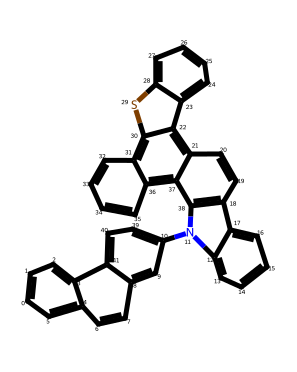 c1ccc2c(c1)ccc1cc(-n3c4ccccc4c4ccc5c6c7ccccc7sc6c6ccccc6c5c43)ccc12